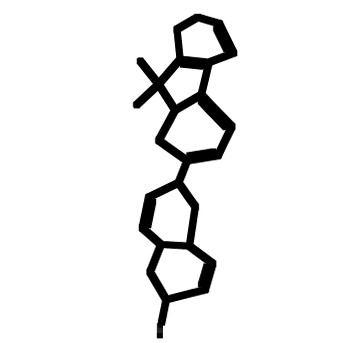 CC1(C)C2=C(C=CCC2)C2=CC=C(C3C=CC4CC(I)C=CC4C3)CC21